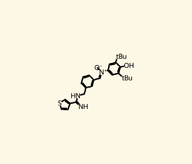 CC(C)(C)c1cc(/[N+]([O-])=C/c2cccc(CNC(=N)c3ccsc3)c2)cc(C(C)(C)C)c1O